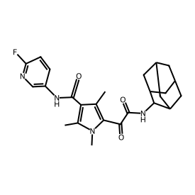 Cc1c(C(=O)Nc2ccc(F)nc2)c(C)n(C)c1C(=O)C(=O)NC1C2CC3CC(C2)CC1C3